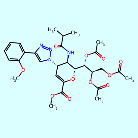 COC(=O)C1=C[C@H](n2cc(-c3ccccc3OC)nn2)[C@@H](NC(=O)C(C)C)[C@H]([C@H](OC(C)=O)[C@@H](COC(C)=O)OC(C)=O)O1